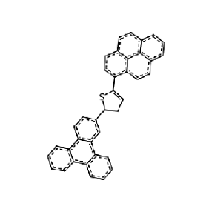 C1=C(c2ccc3ccc4cccc5ccc2c3c45)SC(c2ccc3c4ccccc4c4ccccc4c3c2)C1